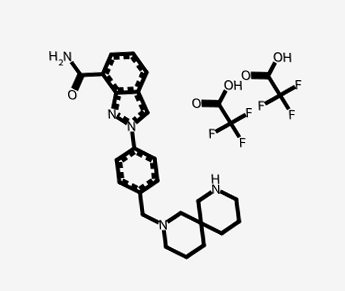 NC(=O)c1cccc2cn(-c3ccc(CN4CCCC5(CCCNC5)C4)cc3)nc12.O=C(O)C(F)(F)F.O=C(O)C(F)(F)F